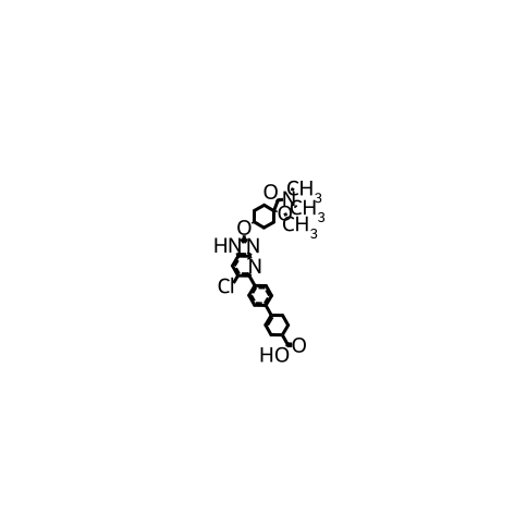 CO[C@]1(C(=O)N(C)C)CC[C@H](Oc2nc3nc(-c4ccc(C5=CCC(C(=O)O)CC5)cc4)c(Cl)cc3[nH]2)CC1